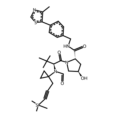 Cc1ncsc1-c1ccc(CNC(=O)[C@@H]2C[C@@H](O)CN2C(=O)[C@@H](N(C=O)C2(CC#C[Si](C)(C)C)CC2)C(C)(C)C)cc1